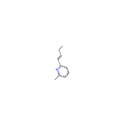 CC/C=C/c1cccc(C)n1